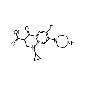 O=C(O)C1CN(C2CC2)c2cc(N3CCNCC3)c(F)cc2C1=O